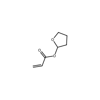 C=CC(=O)OC1CCCO1